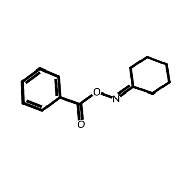 O=C(ON=C1CCCCC1)c1ccccc1